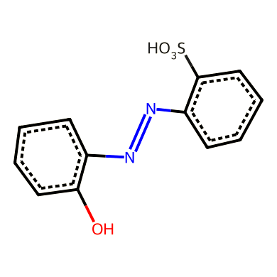 O=S(=O)(O)c1ccccc1/N=N/c1ccccc1O